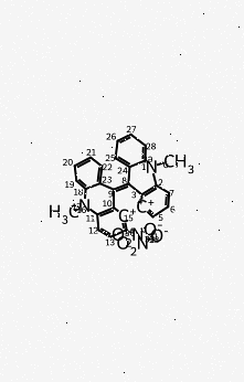 CN1C2=C([C+]=CC=C2)C(=C2C3=C(C=CC=[C+]3)N(C)c3ccccc32)c2ccccc21.O=[N+]([O-])[O-].O=[N+]([O-])[O-]